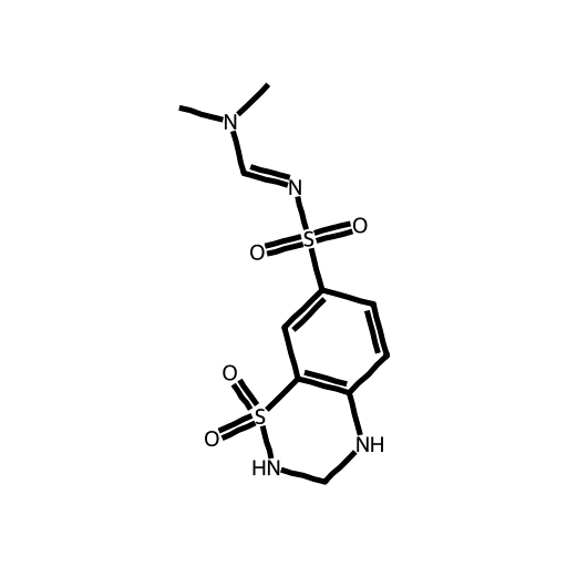 CN(C)C=NS(=O)(=O)c1ccc2c(c1)S(=O)(=O)NCN2